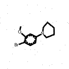 COc1cc(N2CCCCC2)ccc1Br